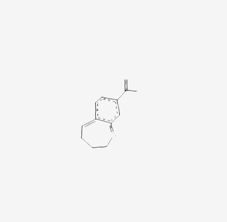 O=C(O)c1ccc2c(c1)=NCCCC=2